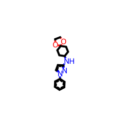 c1ccc(-n2ccc(NC3CCC4(CC3)OCCO4)n2)cc1